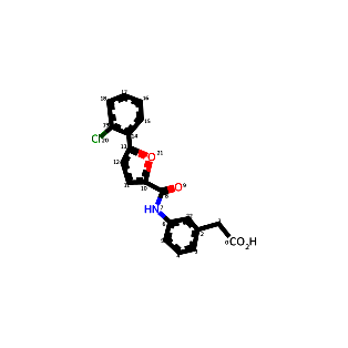 O=C(O)Cc1cccc(NC(=O)c2ccc(-c3ccccc3Cl)o2)c1